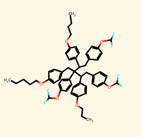 CCCCCOc1ccc(CC(c2ccc(OC(F)F)cc2)(C(Cc2ccc(OC(F)F)cc2)c2ccc(OCCC)cc2)C(Cc2ccc(OC(F)F)cc2)c2ccc(OCCCC)cc2)cc1